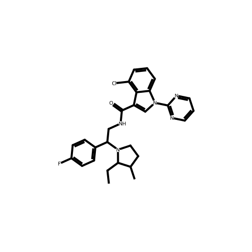 CCC1C(C)CCN1C(CNC(=O)c1cn(-c2ncccn2)c2cccc(Cl)c12)c1ccc(F)cc1